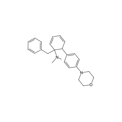 CN(C)C1(Cc2ccccc2)C=CC=CC1c1ccc(N2CCOCC2)cc1